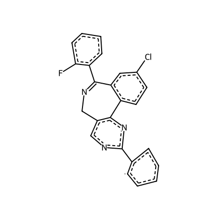 Fc1ccccc1C1=NCc2cnc(-c3[c]cccc3)nc2-c2ccc(Cl)cc21